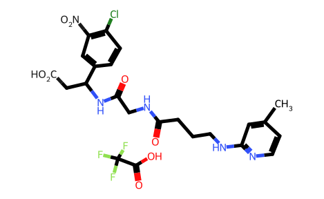 Cc1ccnc(NCCCC(=O)NCC(=O)NC(CC(=O)O)c2ccc(Cl)c([N+](=O)[O-])c2)c1.O=C(O)C(F)(F)F